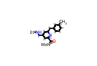 CCNCc1cc(Cc2cccc(C)c2)nc(C(=O)NC)c1